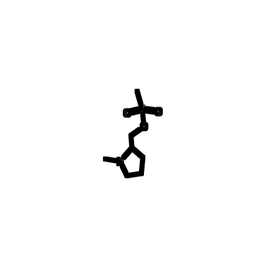 CN1CCCC1COS(C)(=O)=O